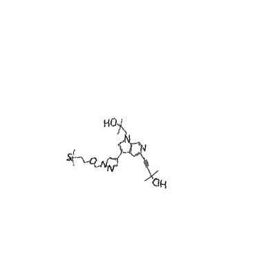 CC(C)(O)C#Cc1cc2c(-c3cnn(COCC[Si](C)(C)C)c3)cn(CC(C)(C)O)c2cn1